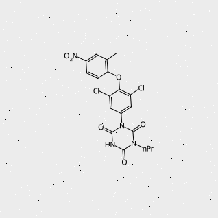 CCCn1c(=O)[nH]c(=O)n(-c2cc(Cl)c(Oc3ccc([N+](=O)[O-])cc3C)c(Cl)c2)c1=O